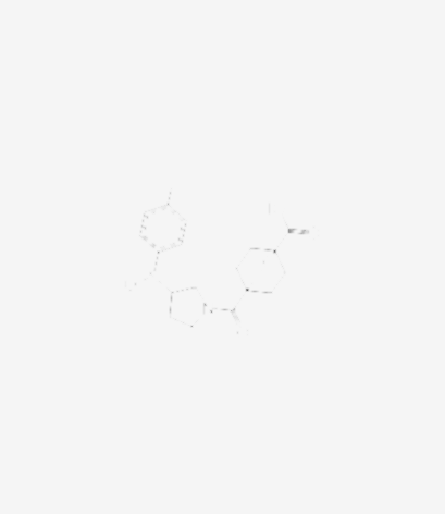 O=C(O)C12CCC(C(=O)N3CCC([S+]([O-])c4ccc(F)cc4)C3)(CC1)CC2